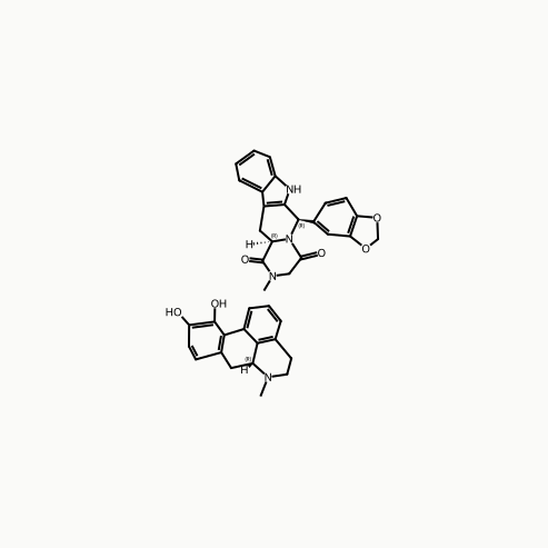 CN1CC(=O)N2[C@H](c3ccc4c(c3)OCO4)c3[nH]c4ccccc4c3C[C@@H]2C1=O.CN1CCc2cccc3c2[C@H]1Cc1ccc(O)c(O)c1-3